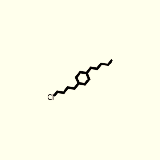 CCCCCC1CCC(CCCCCl)CC1